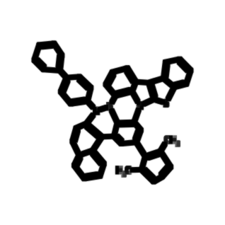 Cc1cccc(C)c1-c1cc2c3c(c1)-n1c4sc5ccccc5c4c4cccc(c41)B3N(c1ccc(-c3ccccc3)cc1)c1ccc3ccccc3c1-2